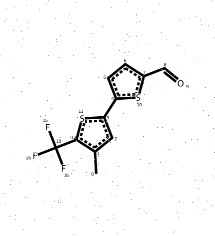 Cc1cc(-c2ccc(C=O)s2)sc1C(F)(F)F